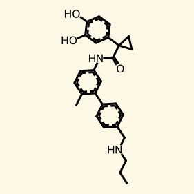 CCCNCc1ccc(-c2cc(NC(=O)C3(c4ccc(O)c(O)c4)CC3)ccc2C)cc1